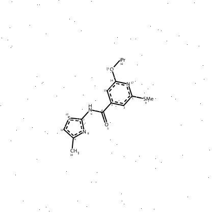 CSc1cc(C(=O)Nc2nc(C)cs2)cc(OC(C)C)n1